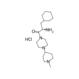 CN1CCC(N2CCN(C(=O)[C@H](N)CC3CCCCC3)CC2)CC1.Cl